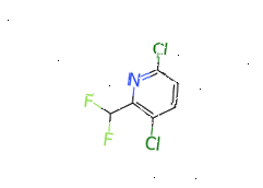 FC(F)c1nc(Cl)ccc1Cl